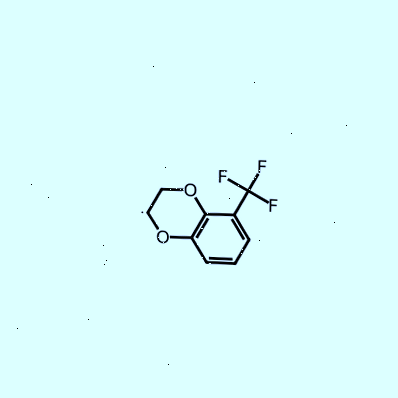 FC(F)(F)c1cccc2c1OC[CH]O2